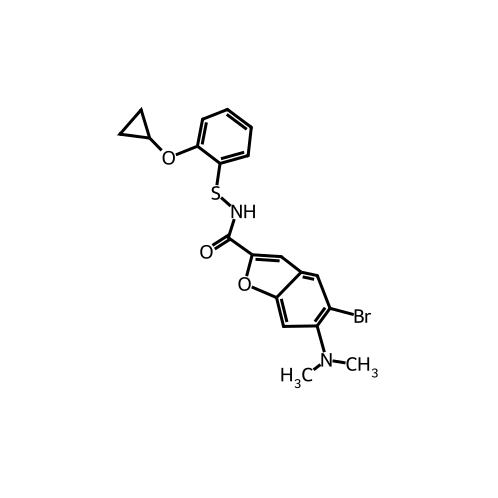 CN(C)c1cc2oc(C(=O)NSc3ccccc3OC3CC3)cc2cc1Br